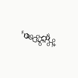 CN(C)C(=O)C(=O)c1cn(C)c2cc(Cl)c(C(=O)N3CCC(O)(Cc4ccc(F)cc4)CC3)nc12